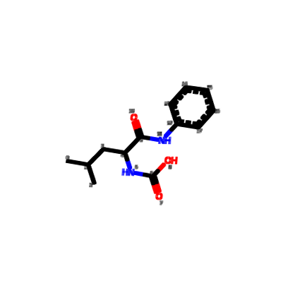 CC(C)CC(NC(=O)O)C(=O)Nc1ccccc1